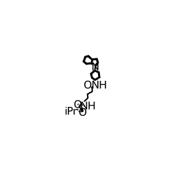 CC(C)S(=O)(=O)NCCCCC(=O)Nc1ccc(-n2ccc3ccccc32)cc1